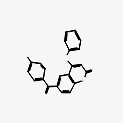 O=C(c1ccc(Cl)cc1)c1ccc2[nH]c(=O)cc(Oc3ccccc3)c2c1